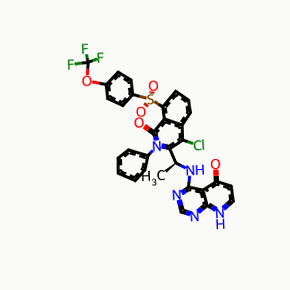 C[C@H](Nc1ncnc2[nH]ccc(=O)c12)c1c(Cl)c2cccc(S(=O)(=O)c3ccc(OC(F)(F)F)cc3)c2c(=O)n1-c1ccccc1